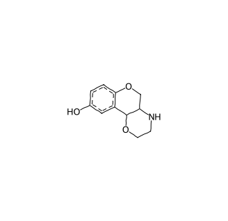 Oc1ccc2c(c1)C1OCCNC1CO2